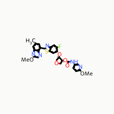 COc1ccc(NC(=O)O[C@H]2COC[C@H]2Oc2cc3sc(-c4cc(C)cc5nc(OC)cnc45)nc3cc2F)cn1